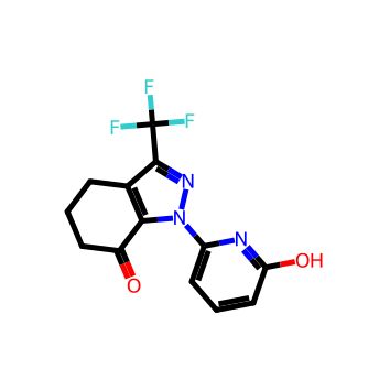 O=C1CCCc2c(C(F)(F)F)nn(-c3cccc(O)n3)c21